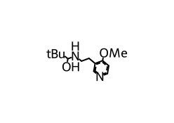 COc1ccncc1CCNC(O)C(C)(C)C